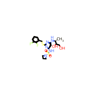 C[C@@H](Nc1cc(NS(=O)(=O)N2CCC2)nc(SCc2cccc(F)c2F)n1)C(O)CO